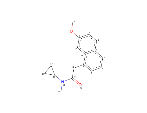 COc1ccc2cccc(CC(=O)N(C)C3CC3)c2c1